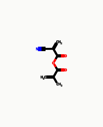 C=C(C)C(=O)OC(=O)C(=C)C#N